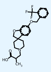 CC(CN1CCC2(CC1)COc1cc(OCc3ccccc3C(F)(F)F)ccc12)C(=O)O